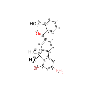 Bc1cc(Br)c2c(c1)-c1ccc(C(=O)c3ccccc3C(=O)O)cc1C2(C)C